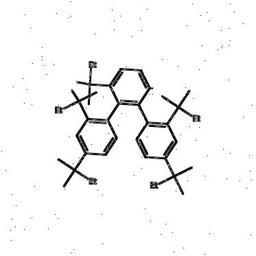 CCC(C)(C)c1ccc(-c2[c]ccc(C(C)(C)CC)c2-c2ccc(C(C)(C)CC)cc2C(C)(C)CC)c(C(C)(C)CC)c1